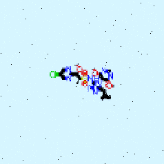 COc1ncnc(OC)c1-n1c(CC(C)C)nnc1NS(=O)(=O)[C@@H](C)[C@H](OC)c1ncc(Cl)cn1